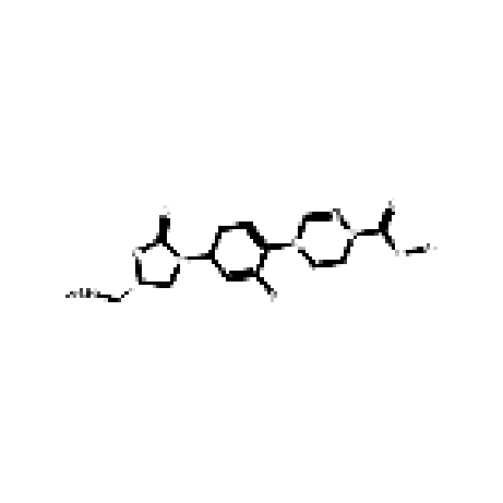 CCOC(=S)N1CCN(C2=CCC(N3C[C@H](CNC(C)=O)OC3=O)C=C2F)C=N1